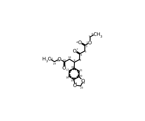 CCOC(=O)CC(=O)CC(CC(=O)OCC)c1ccc2c(c1)OCO2